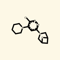 Clc1nnc(N2CC3CC(C2)O3)cc1N1CCCCC1